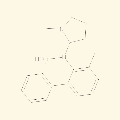 Cc1cccc(-c2ccccc2)c1N(C(=O)O)C1CCCN1C